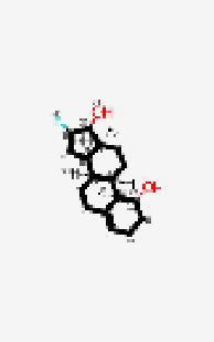 C[C@]12CC[C@H]3[C@@H](CCC4=CCC[C@@H](O)[C@@]43C)[C@@H]1C[C@@H](F)[C@H]2O